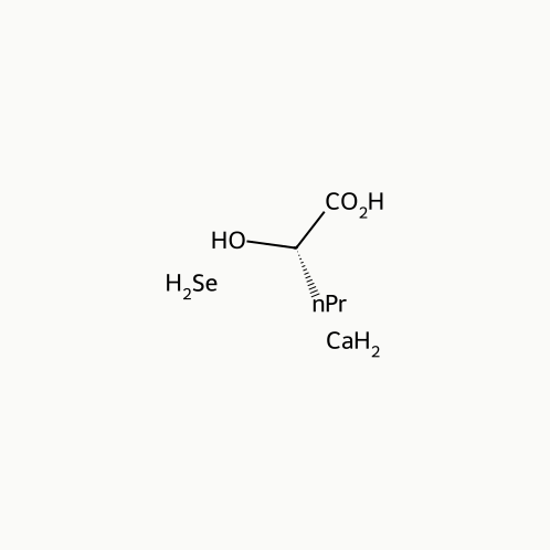 CCC[C@H](O)C(=O)O.[CaH2].[SeH2]